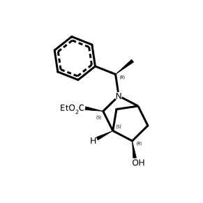 CCOC(=O)[C@@H]1[C@@H]2CC(C[C@H]2O)N1[C@H](C)c1ccccc1